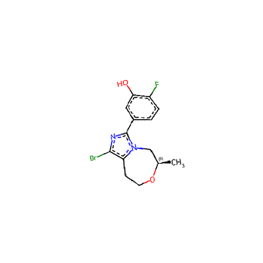 C[C@@H]1Cn2c(-c3ccc(F)c(O)c3)nc(Br)c2CCO1